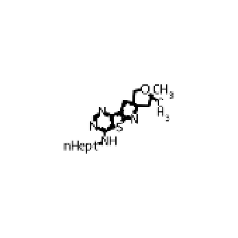 CCCCCCCNc1ncnc2c1sc1nc3c(cc12)COC(C)(C)C3